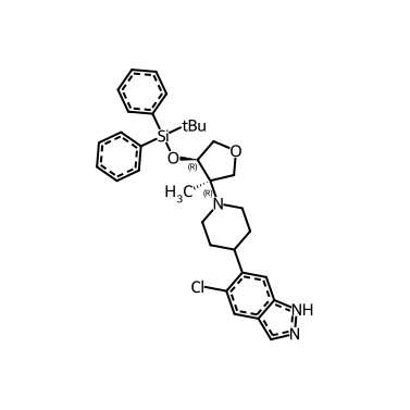 CC(C)(C)[Si](O[C@H]1COC[C@@]1(C)N1CCC(c2cc3[nH]ncc3cc2Cl)CC1)(c1ccccc1)c1ccccc1